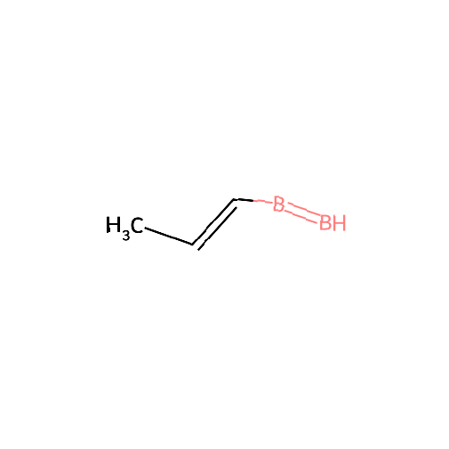 B=BC=CC